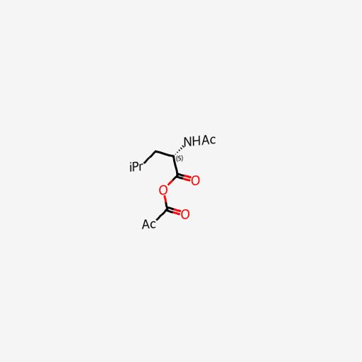 CC(=O)N[C@@H](CC(C)C)C(=O)OC(=O)C(C)=O